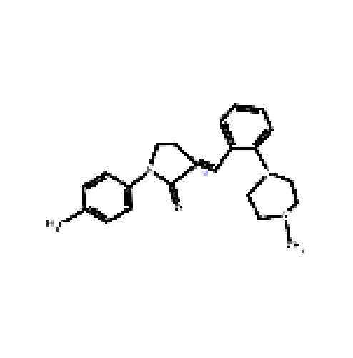 Cc1ccc(N2CC/C(=C\c3ccccc3N3CCN(C)CC3)C2=O)cc1